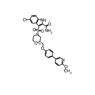 COc1ccc(-c2ccc(OC[C@@H]3CN(S(=O)(=O)c4c(C(N)=O)[nH]c5ccc(Cl)cc45)CCO3)cc2)cn1